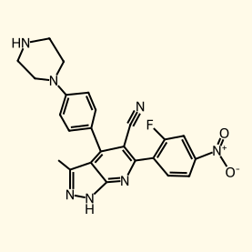 Cc1n[nH]c2nc(-c3ccc([N+](=O)[O-])cc3F)c(C#N)c(-c3ccc(N4CCNCC4)cc3)c12